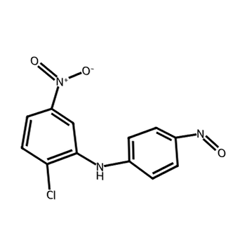 O=Nc1ccc(Nc2cc([N+](=O)[O-])ccc2Cl)cc1